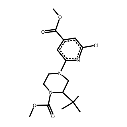 COC(=O)c1cc(Cl)nc(N2CCN(C(=O)OC)C(C(C)(C)C)C2)c1